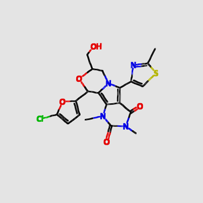 Cc1nc(-c2c3c(=O)n(C)c(=O)n(C)c3c3n2CC(CO)OC3c2ccc(Cl)o2)cs1